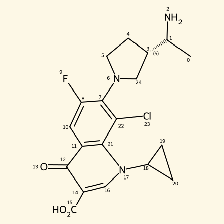 CC(N)[C@H]1CCN(c2c(F)cc3c(=O)c(C(=O)O)cn(C4CC4)c3c2Cl)C1